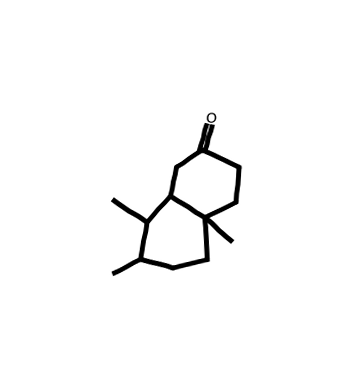 CC1CCC2(C)CCC(=O)CC2C1C